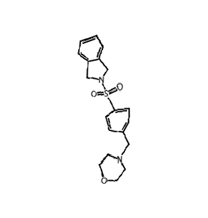 O=S(=O)(c1ccc(CN2CCOCC2)cc1)N1Cc2ccccc2C1